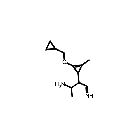 CC1=C(OCC2CC2)C1C(C=N)C(C)N